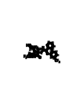 CNC(=O)C(CNC(=O)c1ccccc1-c1ccc(C(F)(F)F)cc1)(NC=O)/C(=C/C=N)NCC(F)(F)F